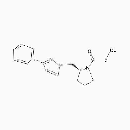 CC(C)(C)OC(=O)N1CCC[C@H]1Cn1ccc(-c2ccccc2)n1